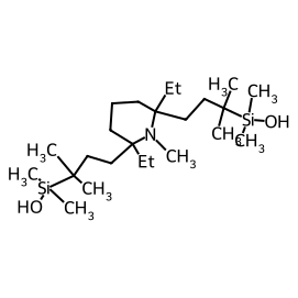 CCC1(CCC(C)(C)[Si](C)(C)O)CCCC(CC)(CCC(C)(C)[Si](C)(C)O)N1C